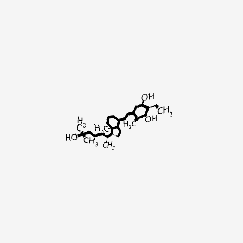 C=C1/C(=C\C=C2CCC[C@@]3(C)C2CC[C@@H]3[C@H](C)CCCC(C)(C)O)C[C@@H](O)[C@@H](CC)[C@H]1O